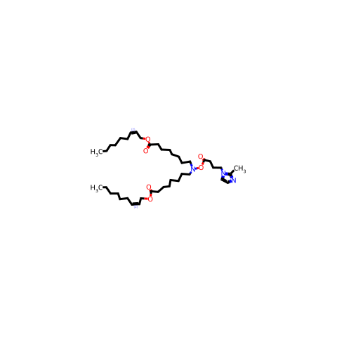 CCCCCC/C=C\COC(=O)CCCCCCCN(CCCCCCCC(=O)OC/C=C\CCCCCC)OC(=O)CCCn1ccnc1C